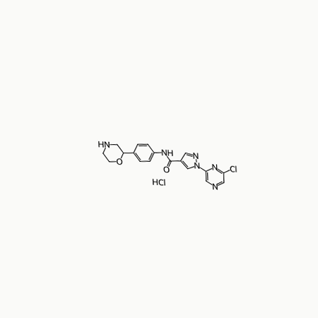 Cl.O=C(Nc1ccc(C2CNCCO2)cc1)c1cnn(-c2cncc(Cl)n2)c1